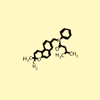 CC(C)CC(=O)N(Cc1ccc2c3c(ccc2c1)OC(C)(C)C=C3)c1ccccc1